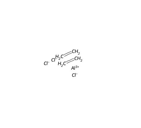 C=C.C=C.[Al+3].[Cl-].[Cl-].[Cl-]